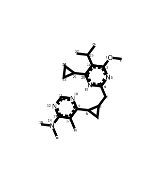 COc1nc(CC2CC2c2ncnc(N(C)C)c2C)nc(C2CC2)c1C(C)C